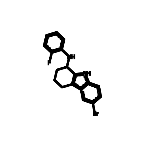 Fc1ccccc1NC1CCCc2c1[nH]c1ccc(Br)cc21